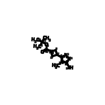 Cn1c(S)nnc1C1CN(C(=O)OC(C)(C)C)C1